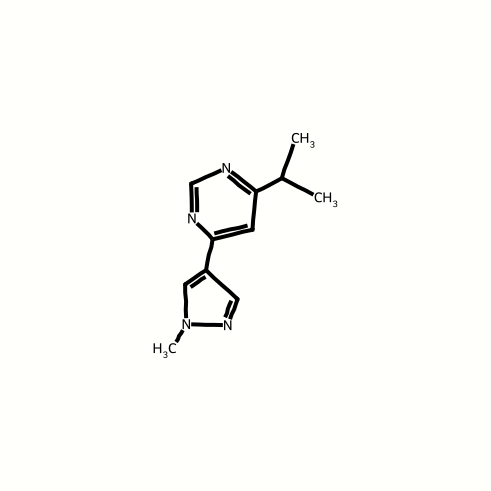 CC(C)c1cc(-c2cnn(C)c2)ncn1